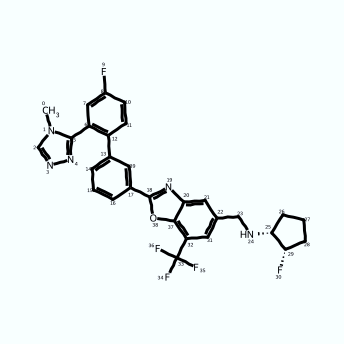 Cn1cnnc1-c1cc(F)ccc1-c1cccc(-c2nc3cc(CN[C@@H]4CCC[C@@H]4F)cc(C(F)(F)F)c3o2)c1